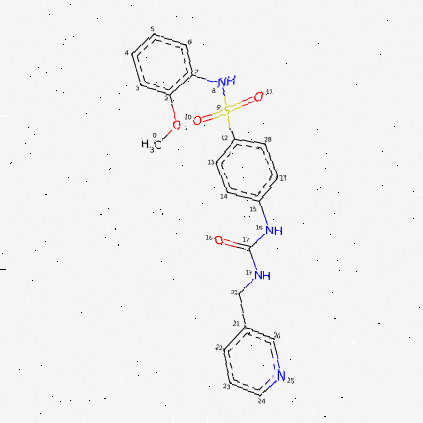 COc1ccccc1NS(=O)(=O)c1ccc(NC(=O)NCc2cccnc2)cc1